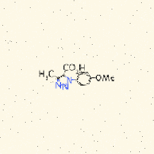 COc1ccc(-n2nnc(C)c2C(=O)O)cc1